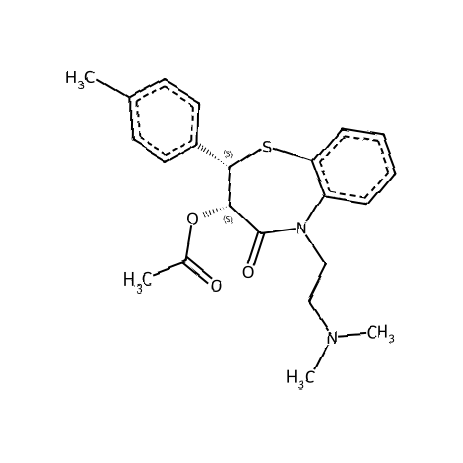 CC(=O)O[C@H]1C(=O)N(CCN(C)C)c2ccccc2S[C@H]1c1ccc(C)cc1